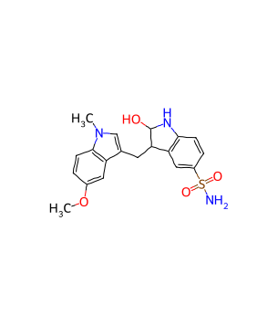 COc1ccc2c(c1)c(CC1c3cc(S(N)(=O)=O)ccc3NC1O)cn2C